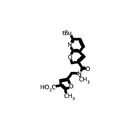 Cc1oc(CN(C)C(=O)C2=Cc3ccc(C(C)(C)C)nc3OC2)cc1C(=O)O